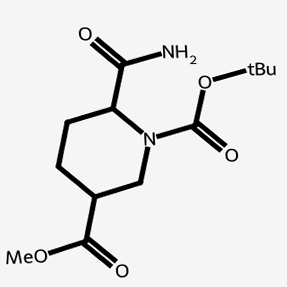 COC(=O)C1CCC(C(N)=O)N(C(=O)OC(C)(C)C)C1